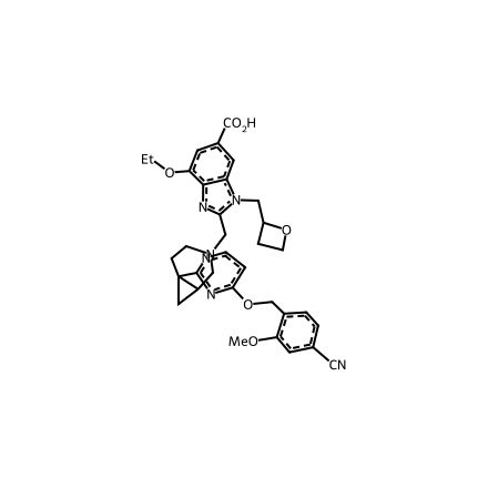 CCOc1cc(C(=O)O)cc2c1nc(CN1CCC3(c4nccc(OCc5ccc(C#N)cc5OC)n4)CC3C1)n2CC1CCO1